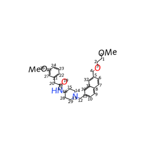 COCCOCc1ccc2ccc(CN3CCC(NC(=O)Cc4cccc(OC)c4)CC3)cc2c1